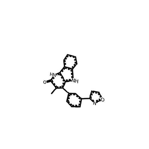 Cc1c(-c2cccc(-c3ccon3)c2)c2[nH]c3ccccc3c2[nH]c1=O